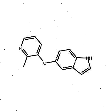 Cc1ncccc1Oc1ccc2[nH]ccc2c1